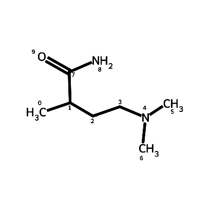 CC([CH]CN(C)C)C(N)=O